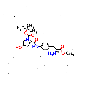 COC(=O)[C@@H](N)Cc1ccc(NC(=O)[C@@H]2CC(O)CN2C(=O)OC(C)(C)C)cc1